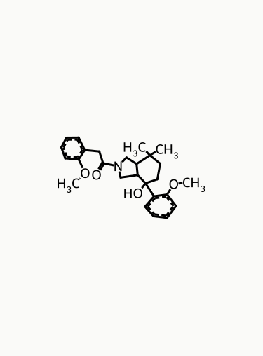 COc1ccccc1CC(=O)N1CC2C(C1)C(O)(c1ccccc1OC)CCC2(C)C